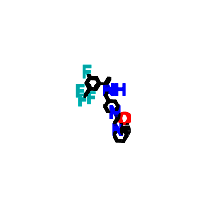 C=C(NCC1CCN(C(=O)CN2CCCC[C@H]2C)CC1)c1cc(F)cc(C(F)(F)F)c1